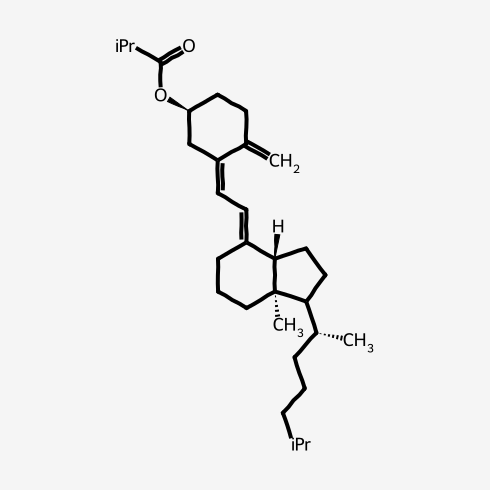 C=C1CC[C@H](OC(=O)C(C)C)C/C1=C/C=C1\CCC[C@]2(C)C([C@H](C)CCCC(C)C)CC[C@@H]12